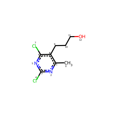 Cc1nc(Cl)nc(Cl)c1CCCO